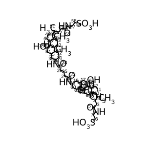 C[C@H](CCC(=O)NCCS(=O)(=O)O)[C@H]1CC[C@H]2[C@@H]3[C@@H](O)CC4C[C@H](NC(=O)CCCC(=O)N[C@H]5CC[C@]6(C)C(C5)C[C@@H](O)[C@H]5C6CC[C@]6(C)C5CC[C@H]6[C@@H](C)CCC(=O)NCCS(=O)(=O)O)CC[C@]4(C)[C@H]3CC[C@]12C